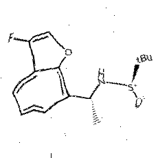 C[C@@H](N[S@+]([O-])C(C)(C)C)c1cccc2c(F)coc12